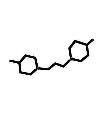 CC1CCN(CCCN2CCC(C)CC2)CC1